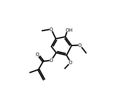 C=C(C)C(=O)Oc1cc(OC)c(O)c(OC)c1OC